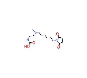 CN(CCCCCCN1C(=O)C=CC1=O)CCN(C)C(=O)O